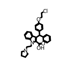 O=C(O)c1c(C(c2ccccc2)c2ccc(OCCCl)cc2)c2ccccc2n1CCN1CCCC1